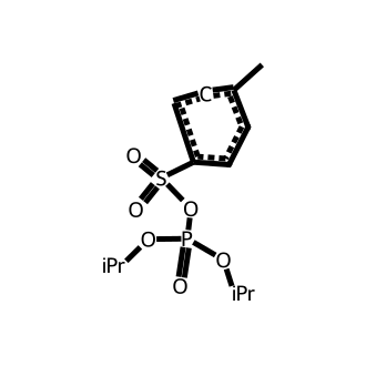 Cc1ccc(S(=O)(=O)OP(=O)(OC(C)C)OC(C)C)cc1